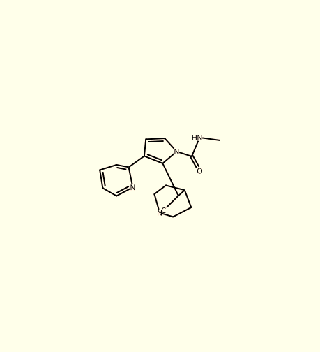 CNC(=O)n1ccc(-c2ccccn2)c1C1CN2CCC1CC2